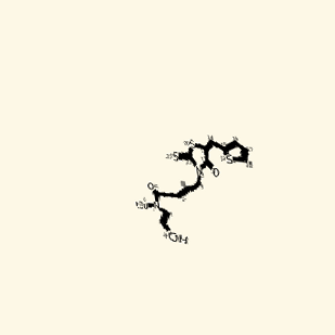 CC(C)(C)N(CCO)C(=O)CCCN1C(=O)/C(=C\c2cccs2)SC1=S